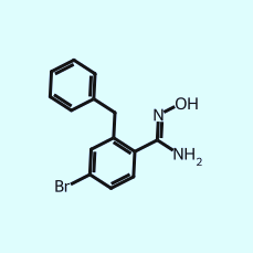 NC(=NO)c1ccc(Br)cc1Cc1ccccc1